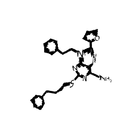 Nc1nc(SCCCc2ccccc2)nc2c1nc(-c1ccco1)n2CCc1ccccc1